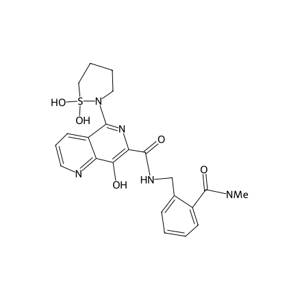 CNC(=O)c1ccccc1CNC(=O)c1nc(N2CCCCS2(O)O)c2cccnc2c1O